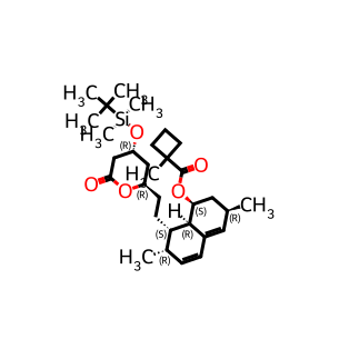 C[C@H]1C=C2C=C[C@H](C)[C@H](CC[C@@H]3C[C@@H](O[Si](C)(C)C(C)(C)C)CC(=O)O3)[C@H]2[C@@H](OC(=O)C2(C)CCC2)C1